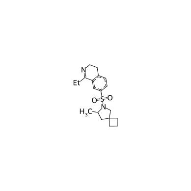 CCC1=NCCc2ccc(S(=O)(=O)N3CC4(CCC4)CC3C)cc21